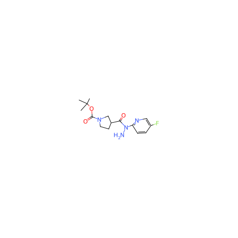 CC(C)(C)OC(=O)N1CCC(C(=O)N(N)c2ccc(F)cn2)C1